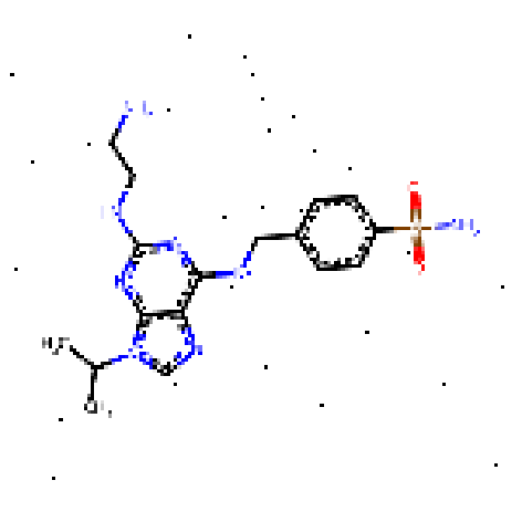 CC(C)n1cnc2c(NCc3ccc(S(N)(=O)=O)cc3)nc(NCCN)nc21